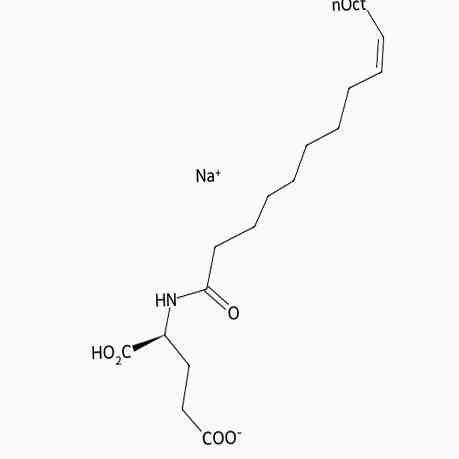 CCCCCCCC/C=C\CCCCCCCC(=O)N[C@@H](CCC(=O)[O-])C(=O)O.[Na+]